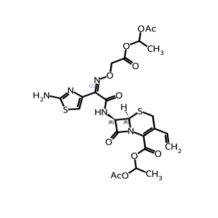 C=CC1=C(C(=O)OC(C)OC(C)=O)N2C(=O)[C@@H](NC(=O)/C(=N\OCC(=O)OC(C)OC(C)=O)c3csc(N)n3)[C@H]2SC1